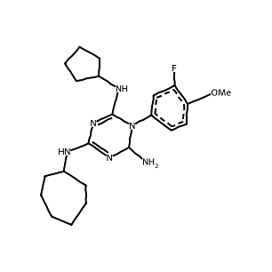 COc1ccc(N2C(NC3CCCC3)=NC(NC3CCCCCC3)=NC2N)cc1F